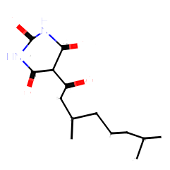 CC(C)CCCC(C)CC(=O)C1C(=O)NC(=O)NC1=O